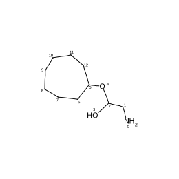 NCC(O)OC1CCCCCCC1